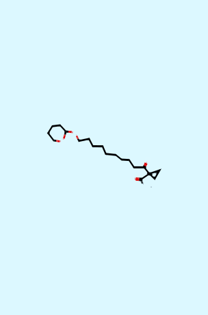 O=C([O-])C(=O)C1(C(=O)CCCCCCCCCOC2CCCCO2)CC1.[Li+]